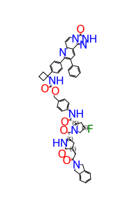 O=C(NC1(c2ccc(-c3nc4ccn5c(=O)[nH]nc5c4cc3-c3ccccc3)cc2)CCC1)OCc1ccc(NC(=O)[C@@H]2C[C@H](F)CN2C(=O)[C@@H]2C[C@@H](CC(=O)N3Cc4ccccc4C3)C(=O)N2)cc1